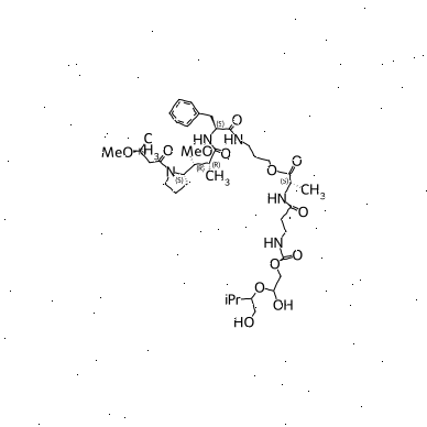 CO[C@H]([C@@H](C)C(=O)N[C@@H](Cc1ccccc1)C(=O)NCCCOC(=O)[C@H](C)NC(=O)CCNC(=O)OCC(O)OC(CO)C(C)C)[C@@H]1CCCN1C(=O)C[C@H](C)OC